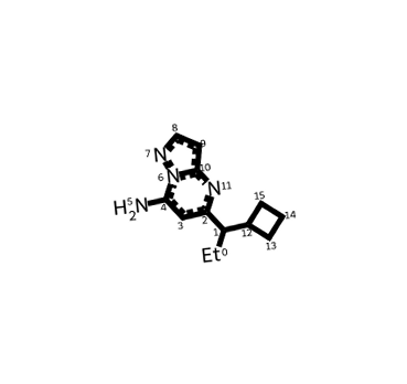 CCC(c1cc(N)n2nccc2n1)C1CCC1